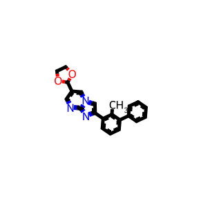 Cc1c(-c2ccccc2)cccc1-c1cn2cc(C3OCCO3)cnc2n1